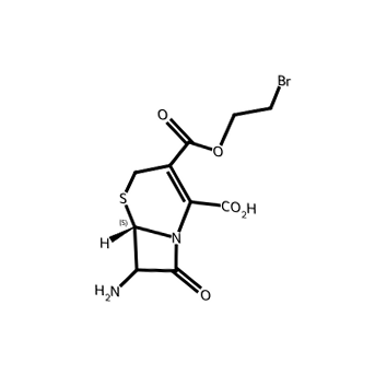 NC1C(=O)N2C(C(=O)O)=C(C(=O)OCCBr)CS[C@@H]12